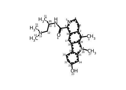 Cc1c2ccnc(C(=O)N[C@H](C)CN(C)C)c2cc2c3ccc(O)cc3n(C)c12